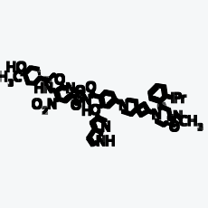 CN=S1(=O)CCN(C2CC3(CCN(c4ccc(C(=O)NS(=O)(=O)c5cc([N+](=O)[O-])c6c(n5)OC[C@H]([C@H]5CC[C@](C)(O)CC5)N6)c(Oc5cnc6[nH]ccc6c5)c4)CC3)C2)[C@@H](c2ccccc2C(C)C)C1